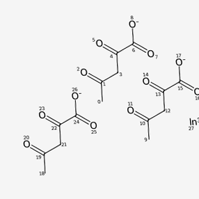 CC(=O)CC(=O)C(=O)[O-].CC(=O)CC(=O)C(=O)[O-].CC(=O)CC(=O)C(=O)[O-].[In+3]